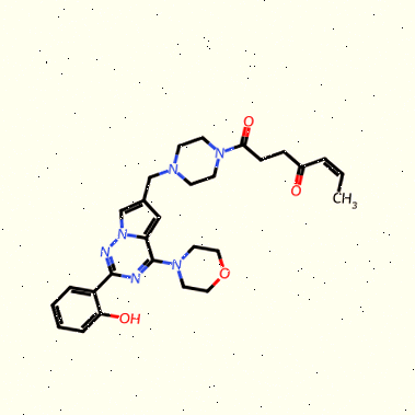 C/C=C\C(=O)CCC(=O)N1CCN(Cc2cc3c(N4CCOCC4)nc(-c4ccccc4O)nn3c2)CC1